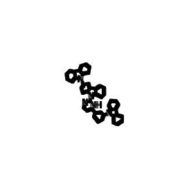 C1=NC(n2c3ccccc3c3cc(-n4c5ccccc5c5ccccc54)ccc32)NC(c2cccc(-n3c4ccccc4c4ccccc43)c2)=C1